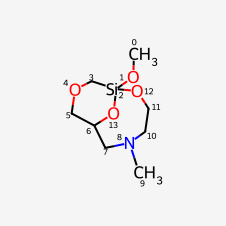 CO[Si]12COCC(CN(C)CCO1)O2